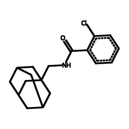 O=C(NCC12CC3CC(CC(C3)C1)C2)c1ccccc1Cl